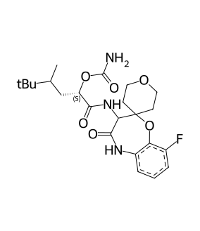 CC(C[C@H](OC(N)=O)C(=O)NC1C(=O)Nc2cccc(F)c2OC12CCOCC2)C(C)(C)C